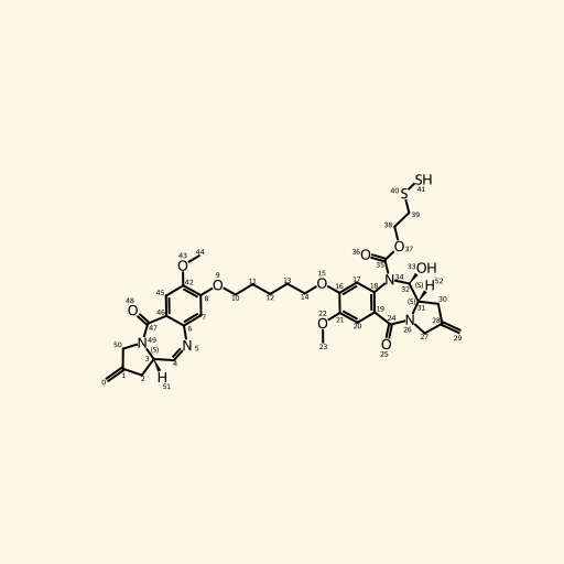 C=C1C[C@H]2C=Nc3cc(OCCCCCOc4cc5c(cc4OC)C(=O)N4CC(=C)C[C@H]4[C@H](O)N5C(=O)OCCSS)c(OC)cc3C(=O)N2C1